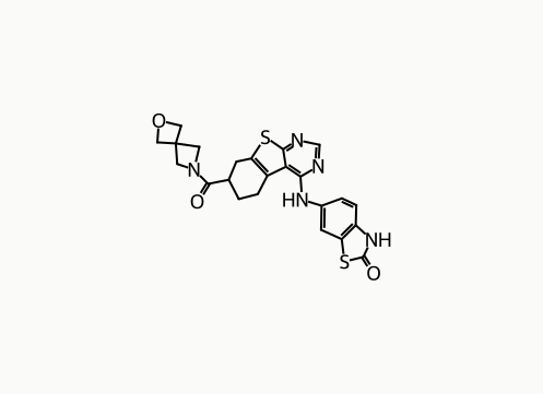 O=C(C1CCc2c(sc3ncnc(Nc4ccc5[nH]c(=O)sc5c4)c23)C1)N1CC2(COC2)C1